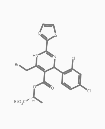 CCOC(=O)[C@@H](C)OC(=O)C1=C(CBr)NC(c2nccs2)=NC1c1ccc(Cl)cc1Cl